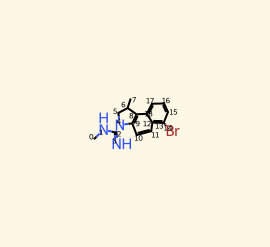 CNC(=N)N1CC(C)c2c1ccc1c(Br)cccc21